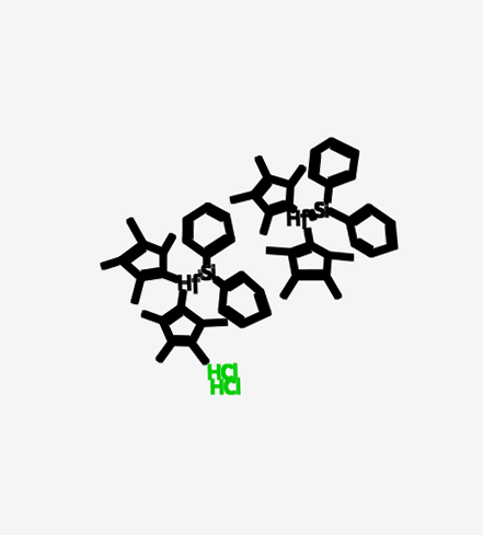 CC1=C(C)C(C)[C]([Hf]([C]2=C(C)C(C)=C(C)C2C)=[Si](c2ccccc2)c2ccccc2)=C1C.CC1=C(C)C(C)[C]([Hf]([C]2=C(C)C(C)=C(C)C2C)=[Si](c2ccccc2)c2ccccc2)=C1C.Cl.Cl